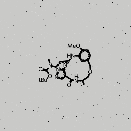 COc1ccc2cc1Nc1cc(N(C)C(=O)OC(C)(C)C)n3ncc(c3n1)C(=O)NC(C)COC2